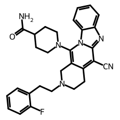 N#Cc1c2c(c(N3CCC(C(N)=O)CC3)n3c1nc1ccccc13)CN(CCc1ccccc1F)CC2